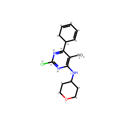 O=[N+]([O-])c1c(NC2CCOCC2)nc(Cl)nc1C1C=CC=CC1